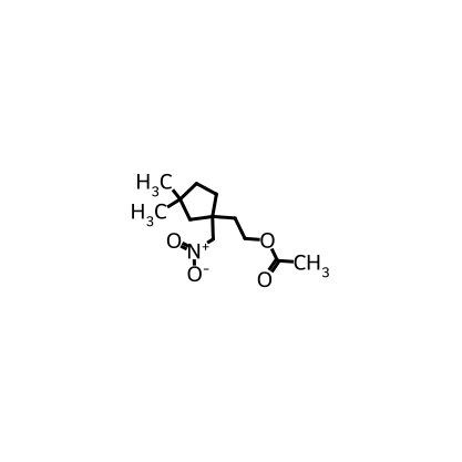 CC(=O)OCCC1(C[N+](=O)[O-])CCC(C)(C)C1